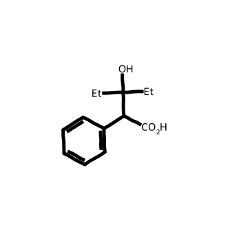 CCC(O)(CC)C(C(=O)O)c1ccccc1